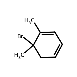 CC1=CC=CCC1(C)Br